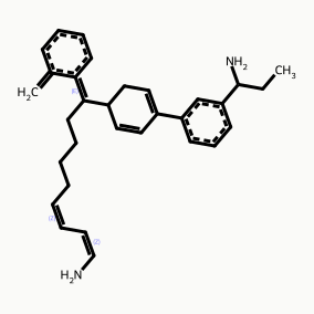 C=c1cccc/c1=C(/CCCC/C=C\C=C/N)C1C=CC(c2cccc(C(N)CC)c2)=CC1